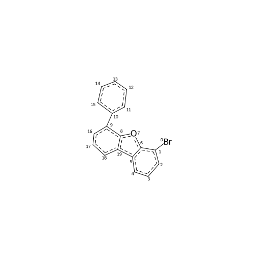 Brc1cccc2c1oc1c(-c3ccccc3)cccc12